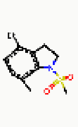 CCc1ccc(C)c2c1CCN2S(C)(=O)=O